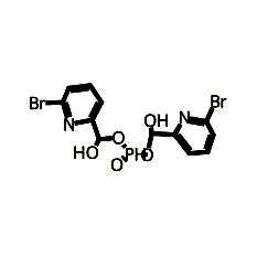 O=[PH](OC(O)c1cccc(Br)n1)OC(O)c1cccc(Br)n1